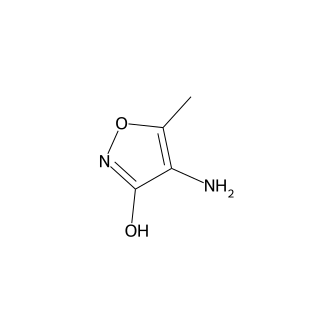 Cc1onc(O)c1N